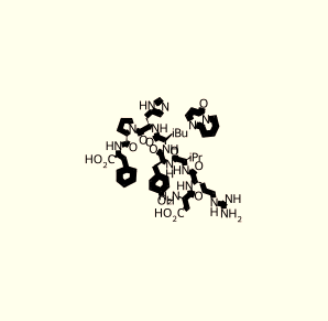 CC[C@H](C)[C@H](NC(=O)[C@H](Cc1ccc(O)cc1)NC(=O)[C@@H](NC(=O)[C@H](CCCNC(=N)N)NC(=O)[C@@H](N)CC(=O)O)C(C)C)C(=O)N[C@@H](Cc1cnc[nH]1)C(=O)N1CCC[C@H]1C(=O)N[C@@H](Cc1ccccc1)C(=O)O.O=c1ccnc2ccccn12